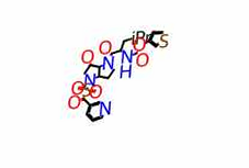 CC(C)CC(NC(=O)Oc1ccsc1)C(=O)N1CCC2C1C(=O)CN2S(=O)(=O)C(=O)c1cccnc1